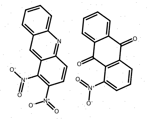 O=C1c2ccccc2C(=O)c2c1cccc2[N+](=O)[O-].O=[N+]([O-])c1ccc2nc3ccccc3cc2c1[N+](=O)[O-]